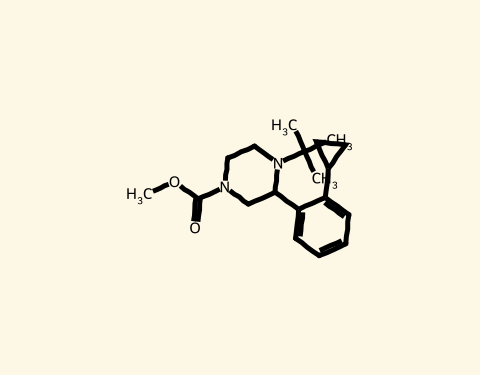 COC(=O)N1CCN(C(C)(C)C)C(c2ccccc2C2CC2)C1